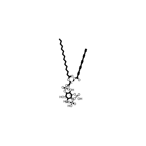 C#CC#CC#CC#CC#CC(=O)OC[C@H](COP(=O)(O)OC1C(O)[C@H](OP(=O)(O)O)[C@H](OP(=O)(O)O)C(O)[C@@H]1O)OC(=O)CCCCCCCCCCCCCCC